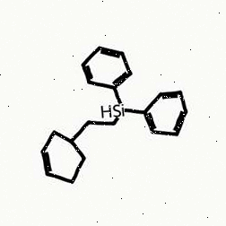 C1=CCC(CC[SiH](c2ccccc2)c2ccccc2)CC1